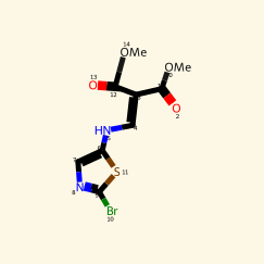 COC(=O)C(=CNc1cnc(Br)s1)C(=O)OC